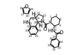 O=C(NC1CCCC[C@@H]1C(=O)N1CC[C@H]2[C@@H](c3ccoc3)Nc3ccccc3[C@H]21)c1ccccc1